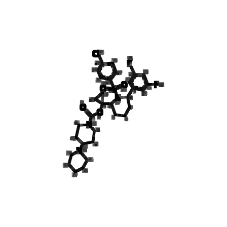 O=C(OC1(C2CCCC(c3cc(F)cc(F)c3)N2S(=O)(=O)c2ccc(Cl)cc2)CC1)N1CCC(N2CCCCC2)CC1